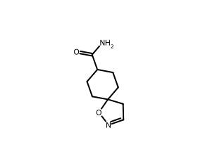 NC(=O)C1CCC2(CC=NO2)CC1